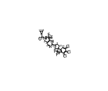 O=C(NCc1cnc(N2CCC(c3cc(Cl)c(Cl)c(Cl)c3)(C(F)(F)F)C2)nc1C(F)(F)F)C1CC1